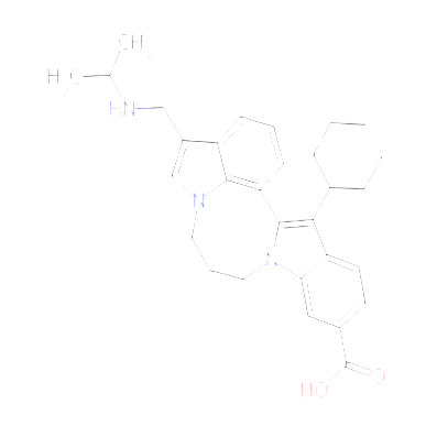 CC(C)NCc1cn2c3c(cccc13)-c1c(C3CCCCC3)c3ccc(C(=O)O)cc3n1CCC2